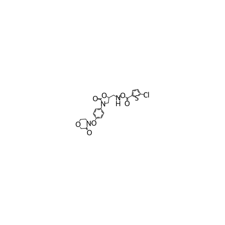 O=C(ONCC1CN(c2ccc(ON3CCOCC3=O)cc2)C(=O)O1)c1ccc(Cl)s1